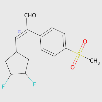 CS(=O)(=O)c1ccc(/C(C=O)=C\C2CC(F)C(F)C2)cc1